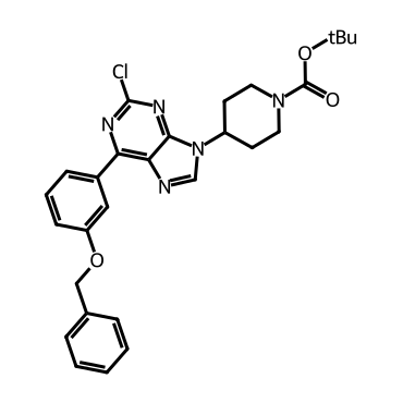 CC(C)(C)OC(=O)N1CCC(n2cnc3c(-c4cccc(OCc5ccccc5)c4)nc(Cl)nc32)CC1